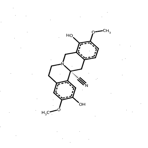 COc1cc2c(cc1O)[C@]1(C#N)Cc3ccc(OC)c(O)c3CN1CC2